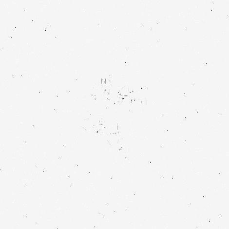 Cc1nc(CN2CCC(c3cccc4c3O[C@@](C)(c3ccc(Cl)cc3F)O4)CC2)n(C[C@@H]2CCO2)c1-c1coc(C(=O)O)n1